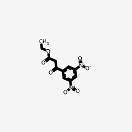 CCOC(=O)CC(=O)c1cc([N+](=O)[O-])cc([N+](=O)[O-])c1